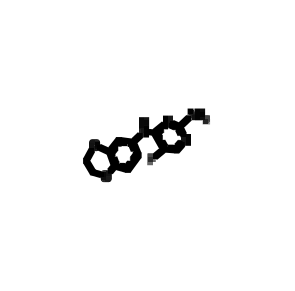 Nc1ncc(F)c(Nc2ccc3c(c2)OCCO3)n1